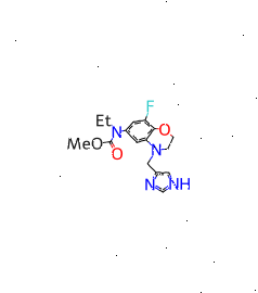 CCN(C(=O)OC)c1cc(F)c2c(c1)N(Cc1c[nH]cn1)CCO2